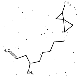 C=CCN(C)CCCCC[C@H]1CC12CC2C